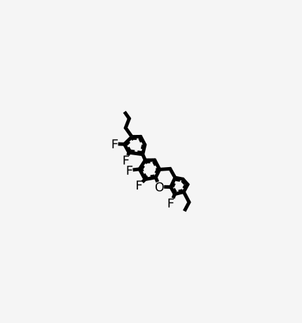 CCCc1ccc(-c2cc3c(c(F)c2F)Oc2c(ccc(CC)c2F)C3)c(F)c1F